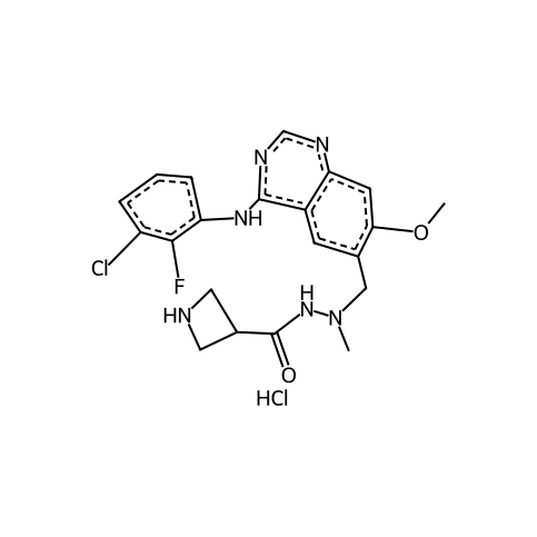 COc1cc2ncnc(Nc3cccc(Cl)c3F)c2cc1CN(C)NC(=O)C1CNC1.Cl